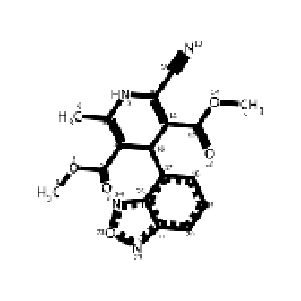 COC(=O)C1=C(C)NC(C#N)=C(C(=O)OC)C1c1cccc2nonc12